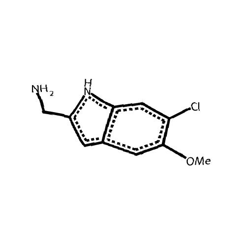 COc1cc2cc(CN)[nH]c2cc1Cl